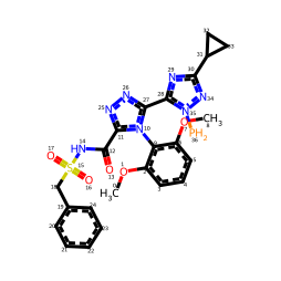 COc1cccc(OC)c1-n1c(C(=O)NS(=O)(=O)Cc2ccccc2)nnc1-c1nc(C2CC2)nn1P